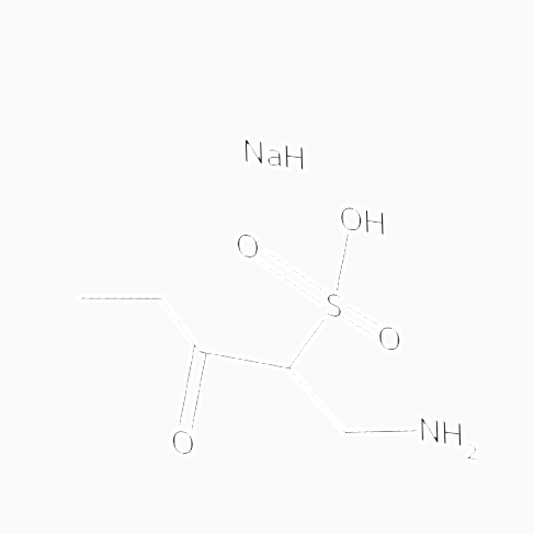 CCC(=O)C(CN)S(=O)(=O)O.[NaH]